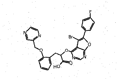 O=C(O)C(Cc1ccccc1OCc1cnccn1)Oc1ncnc2oc(-c3ccc(F)cc3)c(Br)c12